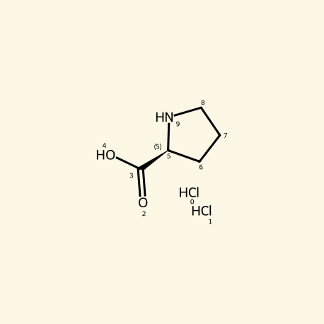 Cl.Cl.O=C(O)[C@@H]1CCCN1